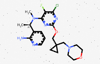 C[C@H](c1cccnc1N)N(C)c1nc(OCC2(CN3CCOCC3)CC2)nc(Cl)c1F